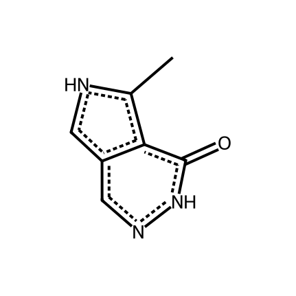 Cc1[nH]cc2cn[nH]c(=O)c12